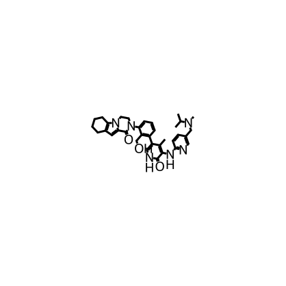 Cc1c(-c2cccc(N3CCn4c(cc5c4CCCC5)C3=O)c2CO)c[nH]c(=O)c1Nc1ccc(CN(C)C(C)C)cn1